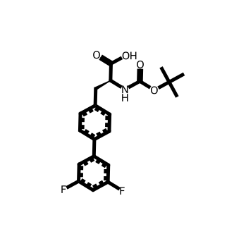 CC(C)(C)OC(=O)N[C@@H](Cc1ccc(-c2cc(F)cc(F)c2)cc1)C(=O)O